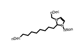 CCCCCCCCCCCCCCCCCCC1N(CCCCCCCCC)C=CN1CCCCCCCCCCC